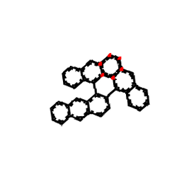 c1ccc2cc3c(-c4c5ccccc5cc5ccccc45)c(-c4c5ccccc5cc5ccccc45)ccc3cc2c1